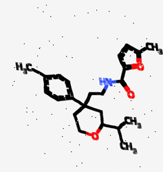 Cc1ccc(C2(CCNC(=O)c3ccc(C)o3)CCOC(C(C)C)C2)cc1